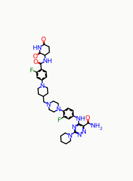 NC(=O)c1nnc(N2CCCCC2)nc1Nc1ccc(N2CCN(CC3CCN(c4ccc(C(=O)NC5CCC(=O)NC5=O)c(F)c4)CC3)CC2)c(F)c1